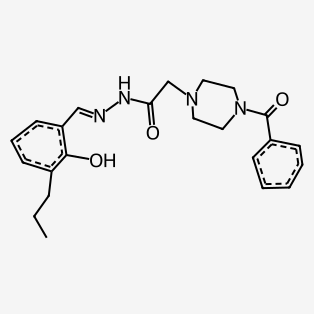 CCCc1cccc(C=NNC(=O)CN2CCN(C(=O)c3ccccc3)CC2)c1O